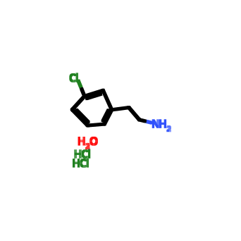 Cl.Cl.NCCc1cccc(Cl)c1.O